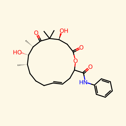 C[C@@H]1C(=O)C(C)(C)[C@@H](O)CC(=O)OC(C(=O)Nc2ccccc2)C/C=C/CCC[C@H](C)[C@@H]1O